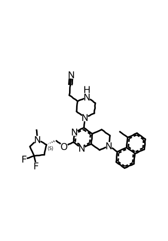 Cc1cccc2cccc(N3CCc4c(nc(OC[C@@H]5CC(F)(F)CN5C)nc4N4CCNC(CC#N)C4)C3)c12